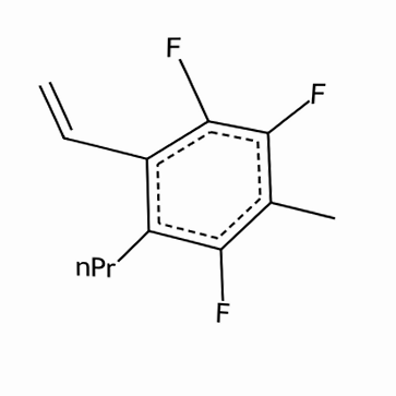 C=Cc1c(F)c(F)c(C)c(F)c1CCC